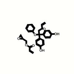 C=CC(=O)CC(Oc1ccccc1)(c1ccc(O)cc1)c1ccc(O)cc1.C=CC(=O)OCC1CO1